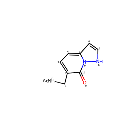 CC(=O)NCc1ccc2cc[nH]n2c1=O